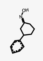 O/N=C1\CCCC(c2ccccc2)C1